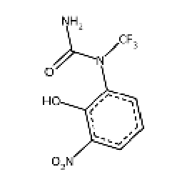 NC(=O)N(c1cccc([N+](=O)[O-])c1O)C(F)(F)F